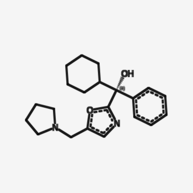 O[C@](c1ccccc1)(c1ncc(CN2CCCC2)o1)C1CCCCC1